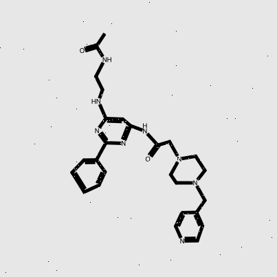 CC(=O)NCCNc1cc(NC(=O)CN2CCN(Cc3ccncc3)CC2)nc(-c2ccccc2)n1